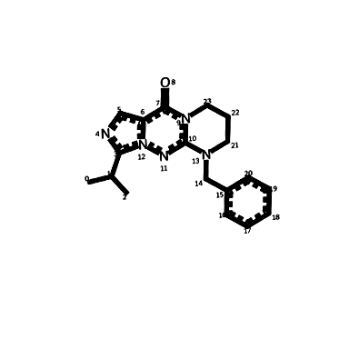 CC(C)c1ncc2c(=O)n3c(nn12)N(Cc1ccccc1)CCC3